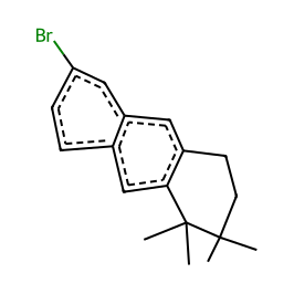 CC1(C)CCc2cc3cc(Br)ccc3cc2C1(C)C